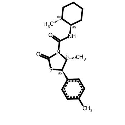 Cc1ccc([C@H]2SC(=O)N(C(=O)N[C@@H]3CCCC[C@H]3C)[C@@H]2C)cc1